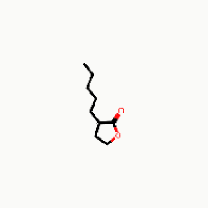 CCCCC[C]1CCOC1=O